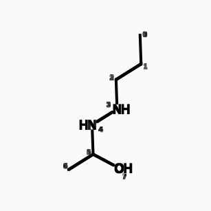 CCCNNC(C)O